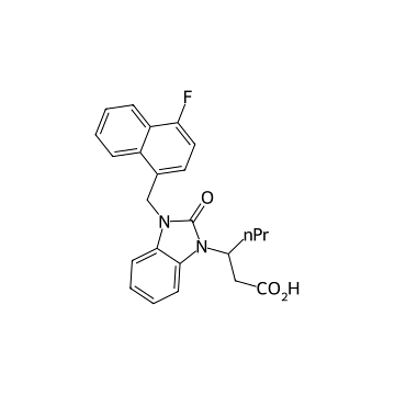 CCCC(CC(=O)O)n1c(=O)n(Cc2ccc(F)c3ccccc23)c2ccccc21